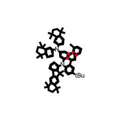 Cc1ccccc1-c1cc(N(c2ccc3c(c2)C(C)(C)CCC3(C)C)c2ccc3c(c2)C(C)(C)CCC3(C)C)cc(N(c2ccc(C(C)(C)C)cc2-c2ccccc2)c2cccc3c2C(C)(C)c2cc4c(cc2-3)C(C)(C)CCC4(C)C)c1